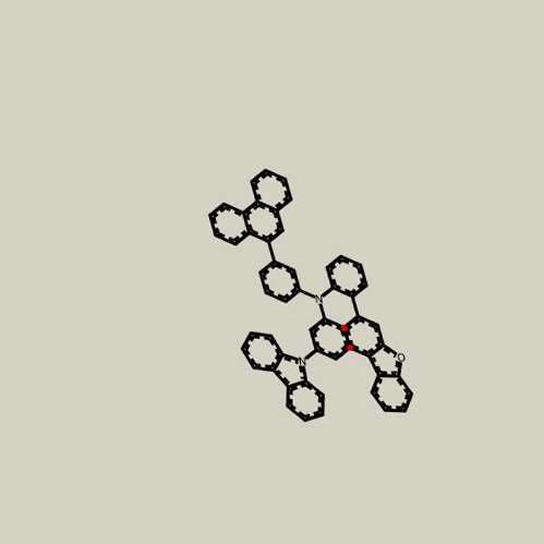 c1cc(-c2cc3ccccc3c3ccccc23)cc(N(c2cccc(-n3c4ccccc4c4ccccc43)c2)c2ccccc2-c2ccc3c(c2)oc2ccccc23)c1